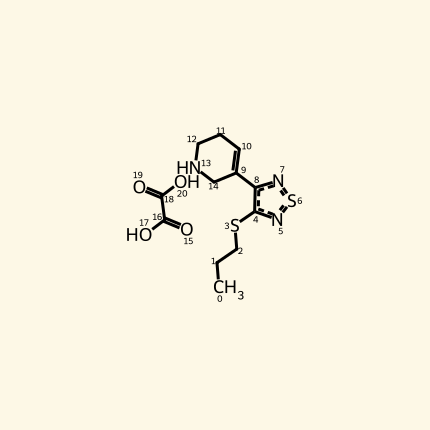 CCCSc1nsnc1C1=CCCNC1.O=C(O)C(=O)O